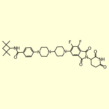 CC1(C)CC(C)(C)C1NC(=O)c1ccc(N2CCN(C3CCN(c4cc5c(c(F)c4F)C(=O)N(C4CCC(=O)NC4=O)C5=O)CC3)CC2)cc1